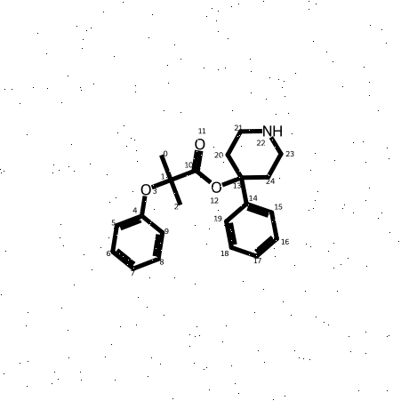 CC(C)(Oc1ccccc1)C(=O)OC1(c2ccccc2)CCNCC1